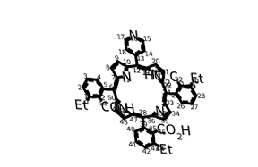 CCc1cccc(C2=C3C=CC(=N3)C(c3ccncc3)=C3C=CC(=N3)C(c3cccc(CC)c3C(=O)O)=C3C=CC(=N3)C(c3cccc(CC)c3C(=O)O)=C3C=CC2=N3)c1C(=O)O